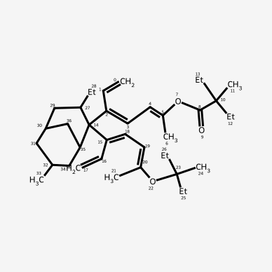 C=C/C(=C\C=C(/C)OC(=O)C(C)(CC)CC)C1(/C(C=C)=C/C=C(\C)OC(C)(CC)CC)C(CC)CC2CC(C)CC1C2